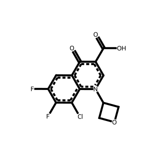 O=C(O)c1cn(C2COC2)c2c(Cl)c(F)c(F)cc2c1=O